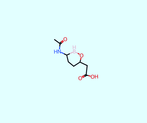 CC(=O)NC1BOC(CC(=O)O)CC1